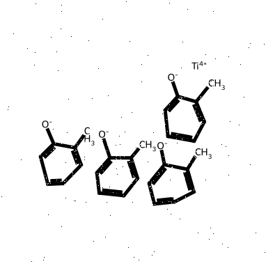 Cc1ccccc1[O-].Cc1ccccc1[O-].Cc1ccccc1[O-].Cc1ccccc1[O-].[Ti+4]